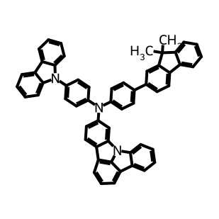 CC1(C)c2ccccc2-c2ccc(-c3ccc(N(c4ccc(-n5c6ccccc6c6ccccc65)cc4)c4ccc5c6cccc7c8ccccc8n(c5c4)c76)cc3)cc21